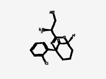 N[C@@H](CO)C1=N[C@@]2(c3ccccc3Cl)CCC[C@@H](O1)C2=O